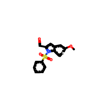 COc1ccc2c(c1)cc(C=O)n2S(=O)(=O)c1ccccc1